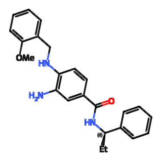 CC[C@@H](NC(=O)c1ccc(NCc2ccccc2OC)c(N)c1)c1ccccc1